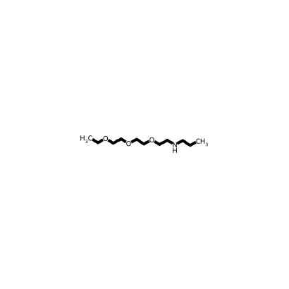 CCCNCCOCCOCCOCC